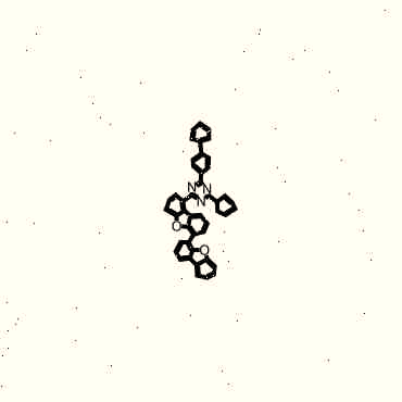 C1=CCC(c2nc(-c3ccc(-c4ccccc4)cc3)nc(-c3cccc4oc5c(-c6cccc7c6oc6ccccc67)cccc5c34)n2)C=C1